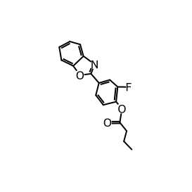 CCCC(=O)Oc1ccc(-c2nc3ccccc3o2)cc1F